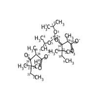 CC(C)[O][Ti+2][O]C(C)C.CCC(C)(C)C(=O)C(C)C(=O)[O-].CCC(C)(C)C(=O)C(C)C(=O)[O-]